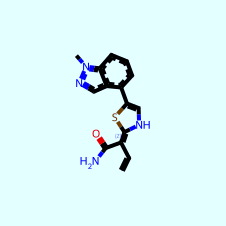 C=C/C(C(N)=O)=C1\NC=C(c2cccc3c2cnn3C)S1